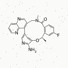 C[C@H]1Oc2cc(cnc2N)-c2c(cnc3cccnc23)CN(C)C(=O)c2ccc(F)cc21